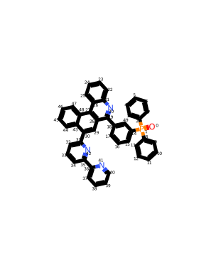 O=P(c1ccccc1)(c1ccccc1)c1cccc(-c2nc3ccccc3c3c2cc(-c2cccc(-c4ccccn4)n2)c2ccccc23)c1